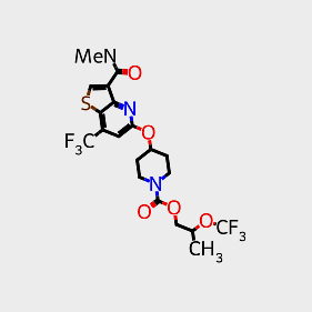 CNC(=O)c1csc2c(C(F)(F)F)cc(OC3CCN(C(=O)OCC(C)OC(F)(F)F)CC3)nc12